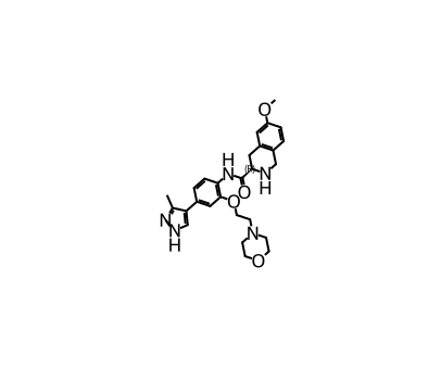 COc1ccc2c(c1)C[C@H](C(=O)Nc1ccc(-c3c[nH]nc3C)cc1OCCN1CCOCC1)NC2